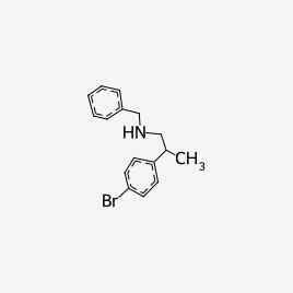 CC(CNCc1ccccc1)c1ccc(Br)cc1